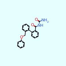 NC(=O)NC(=O)c1ccccc1-c1ccccc1COc1ccccc1